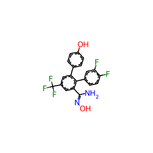 N/C(=N\O)c1cc(C(F)(F)F)cc(-c2ccc(O)cc2)c1-c1ccc(F)c(F)c1